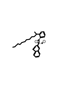 CCCCCCCCCCC(C)c1ccccc1[C@@H]1O[C@]1(C=O)c1ccc2ccccc2c1